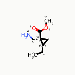 CC[C@@H]1C[C@]1(CN)C(=O)OC